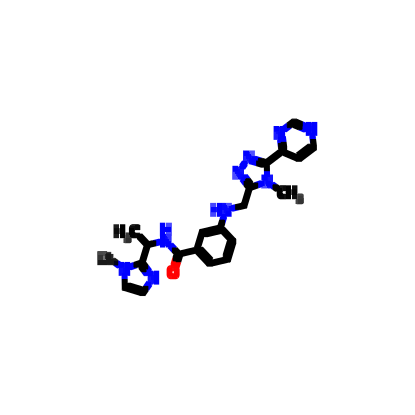 CCn1ccnc1C(C)NC(=O)c1cccc(NCc2nnc(-c3ccncn3)n2C)c1